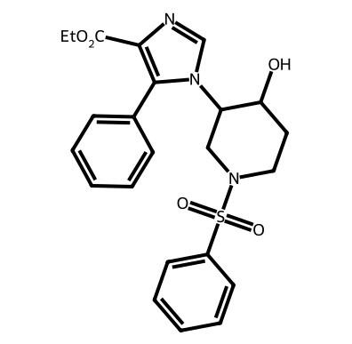 CCOC(=O)c1ncn(C2CN(S(=O)(=O)c3ccccc3)CCC2O)c1-c1ccccc1